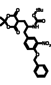 CC(C)(C)OC(=O)NC(Cc1ccc(OCc2ccccc2)c([N+](=O)[O-])c1)CC1C(=O)OC(C)(C)OC1=O